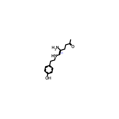 CC(=O)CC/C(N)=C/NCCc1ccc(O)cc1